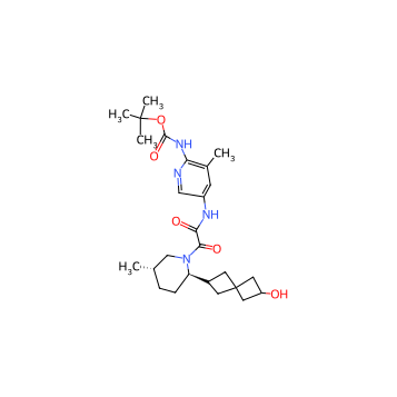 Cc1cc(NC(=O)C(=O)N2C[C@@H](C)CC[C@@H]2C2CC3(CC(O)C3)C2)cnc1NC(=O)OC(C)(C)C